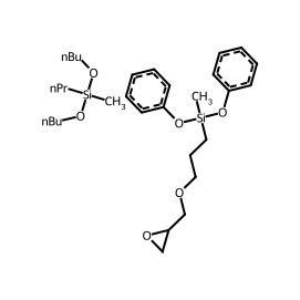 CCCCO[Si](C)(CCC)OCCCC.C[Si](CCCOCC1CO1)(Oc1ccccc1)Oc1ccccc1